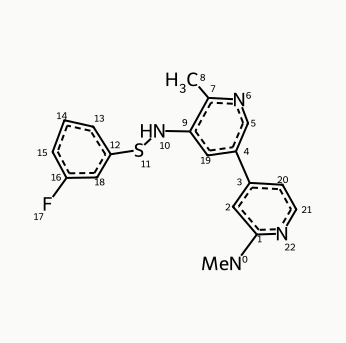 CNc1cc(-c2cnc(C)c(NSc3cccc(F)c3)c2)ccn1